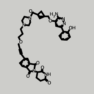 Nc1nnc(-c2ccccc2O)cc1OCC12CC(C(=O)N3CCN(CCCOCC#Cc4ccc5c(c4)C(=O)N(C4CCC(=O)NC4=O)C5=O)CC3)(C1)C2